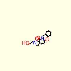 O=C1CCC2(CCN(CCO)C2=O)C(=O)N1Cc1ccccc1